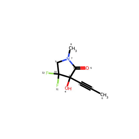 CC#CC1(O)C(=O)N(C)CC1(F)F